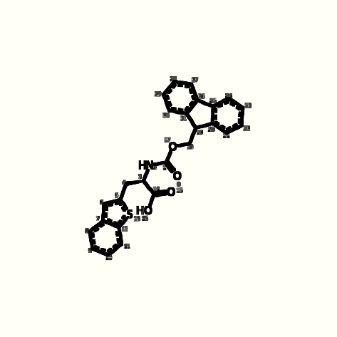 O=C(N[C@H](Cc1cc2ccccc2s1)C(=O)O)OCC1c2ccccc2-c2ccccc21